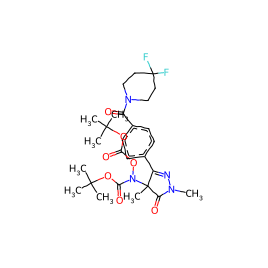 CN1N=C(c2ccc(C(=O)N3CCC(F)(F)CC3)cc2)C(C)(N(OC(=O)OC(C)(C)C)C(=O)OC(C)(C)C)C1=O